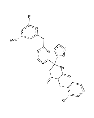 COc1cc(F)cc(Cc2cccc(C3(c4ccsc4)CC(=O)C(Sc4ccccc4Cl)C(=O)N3)n2)c1